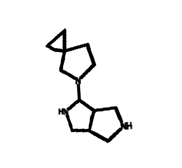 C1NCC2C1CNC2N1CCC2(CC2)C1